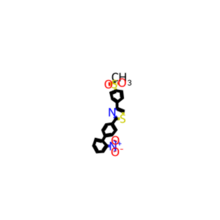 CS(=O)(=O)c1ccc(-c2csc(-c3ccc(-c4ccccc4[N+](=O)[O-])cc3)n2)cc1